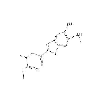 CNc1cc2sc(C(=O)CC(C)C(=O)OC)cc2cc1O